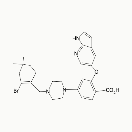 CC1(C)CCC(CN2CCN(c3ccc(C(=O)O)c(Oc4cnc5[nH]ccc5c4)c3)CC2)=C(Br)C1